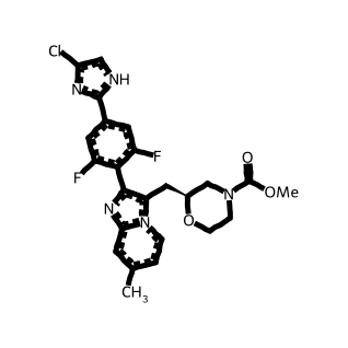 COC(=O)N1CCO[C@@H](Cc2c(-c3c(F)cc(-c4nc(Cl)c[nH]4)cc3F)nc3cc(C)ccn23)C1